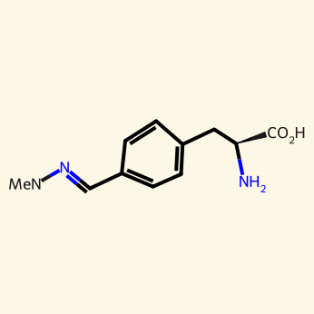 CN/N=C/c1ccc(C[C@H](N)C(=O)O)cc1